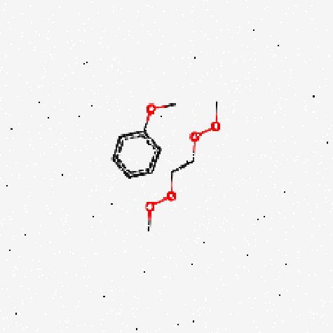 COOCCOOC.COc1ccccc1